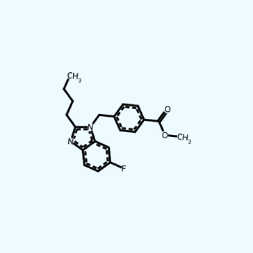 CCCCc1nc2ccc(F)cc2n1Cc1ccc(C(=O)OC)cc1